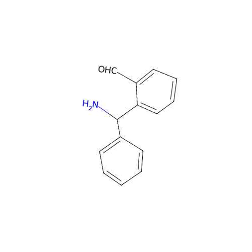 NC(c1ccccc1)c1ccccc1C=O